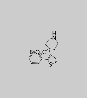 CCOC(=O)C1(c2ccsc2-c2ccccc2)CCNCC1